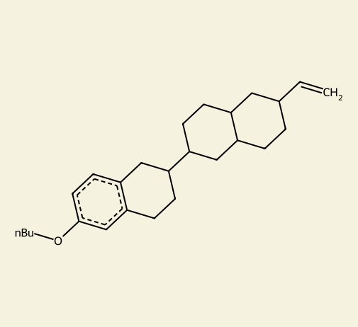 C=CC1CCC2CC(C3CCc4cc(OCCCC)ccc4C3)CCC2C1